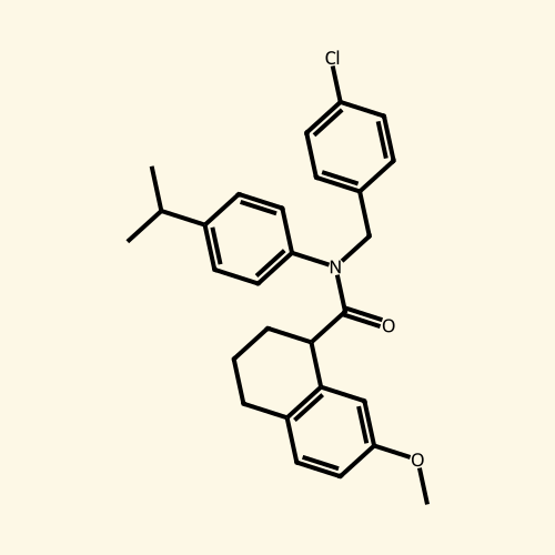 COc1ccc2c(c1)C(C(=O)N(Cc1ccc(Cl)cc1)c1ccc(C(C)C)cc1)CCC2